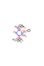 CC1CN(C(=O)OC(C)(C)C)CCN(C=O)CCN(C(=O)OC(C)(C)C)CCN1CC(=O)OCc1ccccc1